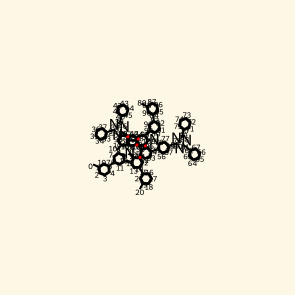 Cc1cccc(-c2ccc3c(c2)c2cc(-c4cccc(C)c4)ccc2n3-c2cc(-c3nc(-c4ccccc4)nc(-c4ccccc4)n3)ccc2-c2cccc(-c3ccc(-c4nc(-c5ccccc5)nc(-c5ccccc5)n4)cc3-n3c4ccc(-c5cccc(C)c5)cc4c4cc(-c5cccc(C)c5)ccc43)c2)c1